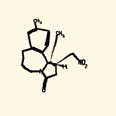 Cc1ccc2c(c1)CCCN1C(=O)C[C@H]3[C@H](C[N+](=O)[O-])[C@@H](C)CC231